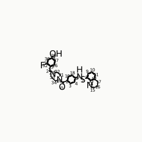 O=C(c1ccc(NSc2cccc3c2N=CCC3)cc1)N1CCN(Cc2ccc(O)cc2F)CC1